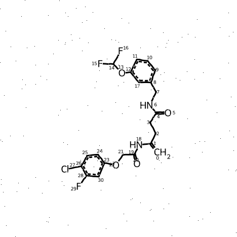 C=C(CCC(=O)NCc1cccc(OC(F)F)c1)NC(=O)COc1ccc(Cl)c(F)c1